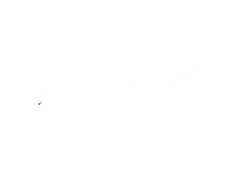 C[S@@+]([O-])CCOCCOCCN=[N+]=[N-]